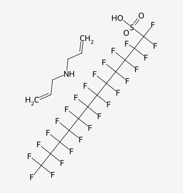 C=CCNCC=C.O=S(=O)(O)C(F)(F)C(F)(F)C(F)(F)C(F)(F)C(F)(F)C(F)(F)C(F)(F)C(F)(F)C(F)(F)C(F)(F)C(F)(F)C(F)(F)F